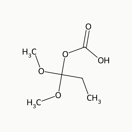 CCC(OC)(OC)OC(=O)O